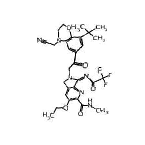 CCOc1cc2c(nc1C(=O)NC)C(=NC(=O)C(F)(F)F)N(CC(=O)c1cc3c(c(C(C)(C)C)c1)OCCN3CC#N)C2